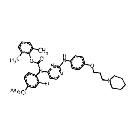 CCc1cc(OC)ccc1N(C(=O)Oc1c(C)cccc1C)c1ccnc(Nc2ccc(OCCCN3CCCCC3)cc2)n1